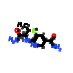 CC[C@@H](NC1=C(F)C=C(C(N)=O)CN1)C(N)=O